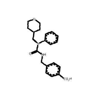 O=C(O)c1ccc(CNC(=O)N(CC2CCOCC2)c2ccccc2)cc1